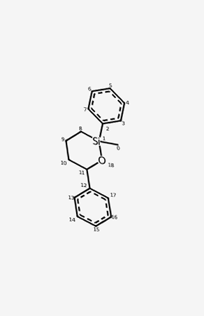 C[Si]1(c2ccccc2)CCCC(c2ccccc2)O1